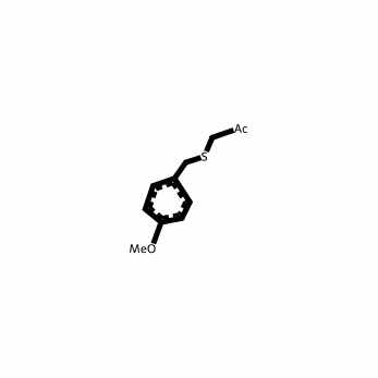 COc1ccc(CSCC(C)=O)cc1